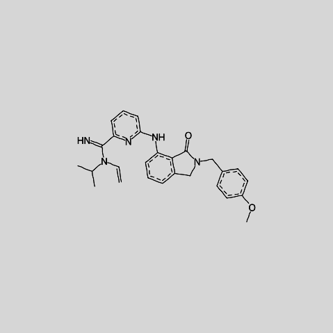 C=CN(C(=N)c1cccc(Nc2cccc3c2C(=O)N(Cc2ccc(OC)cc2)C3)n1)C(C)C